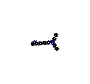 c1ccc(-c2ccc(-c3nc(-c4ccc(-c5ccccc5)cc4)nc(-c4ccc(-c5ccc(-c6ccc(-c7ccc8c(c7)ncc7ccccc78)cc6)cc5)cc4)n3)cc2)cc1